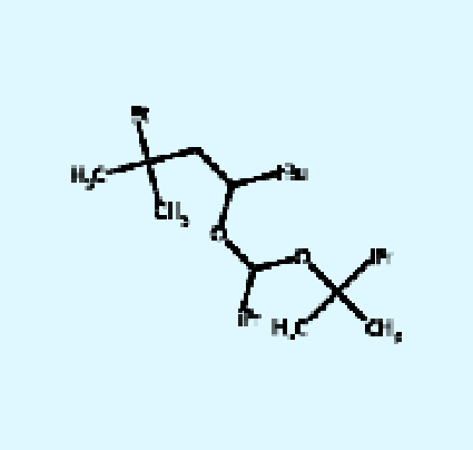 CCC(C)(C)CC(OC(OC(C)(C)C(C)C)C(C)C)C(C)(C)C